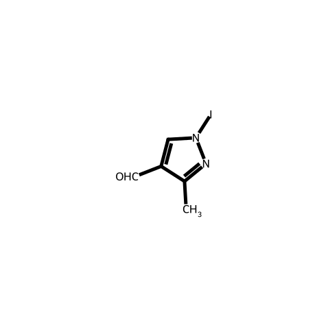 Cc1nn(I)cc1C=O